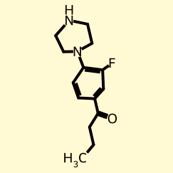 CCCC(=O)c1ccc(N2CCNCC2)c(F)c1